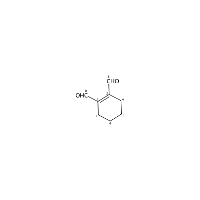 O=CC1=C(C=O)CCCC1